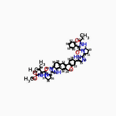 CCC(=O)N[C@@H](C(=O)N1CCC[C@H]1c1ncc(-c2ccc3c(c2)OCc2cc4c(ccc5nc([C@@H]6CCCN6C(=O)[C@@H](NC(=O)OC)C(C)C)[nH]c54)cc2-3)[nH]1)c1ccccc1